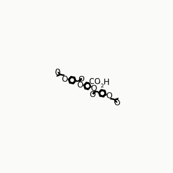 O=C(Oc1ccc(OC(=O)c2ccc(OCC3CO3)cc2)c(C(=O)O)c1)c1ccc(OCC2CO2)cc1